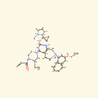 C=CC(=O)N1CCN(c2nc(OC3(C4CCCN4C)CC3)nc3c2CCN(c2cc(OCOC)cc4ccccc24)C3)CC1CC#N